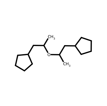 CC(CC1CCCC1)OC(C)CC1CCCC1